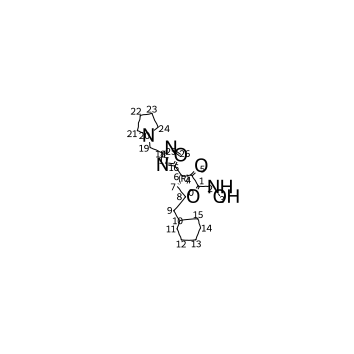 O=C(NO)C(=O)[C@H](CCCC1CCCCC1)c1nc(CN2CCCC2)no1